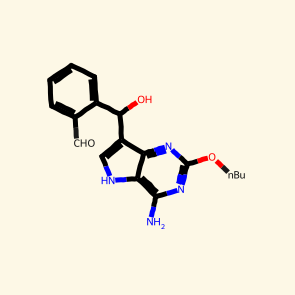 CCCCOc1nc(N)c2[nH]cc(C(O)c3ccccc3C=O)c2n1